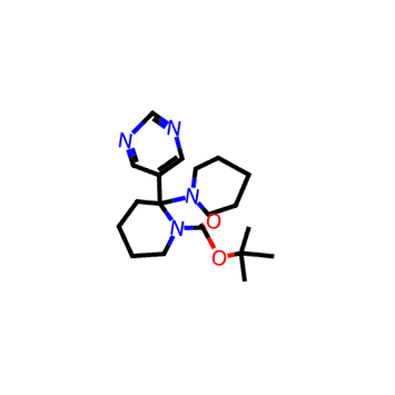 CC(C)(C)OC(=O)N1CCCCC1(c1cncnc1)N1CCCCC1